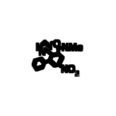 CNC(=O)c1cc([N+](=O)[O-])cc(-c2ccccc2)c1-c1nncn1C